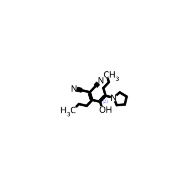 CCCC(=C(C#N)C#N)/C(O)=C(\CCC)N1CCCC1